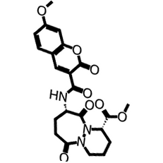 COC(=O)[C@@H]1CCCN2C(=O)CC[C@H](NC(=O)c3cc4ccc(OC)cc4oc3=O)C(=O)N12